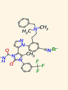 Cc1c(-c2ccnn2-c2ccc(C#N)cc2CC[N+](C)(C)Cc2ccccc2)n(C(=O)NC2CCCC2)c(=O)n1-c1cccc(C(F)(F)F)c1.[Br-]